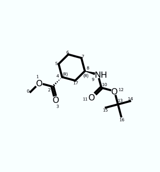 COC(=O)[C@@H]1CCC[C@@H](NC(=O)OC(C)(C)C)C1